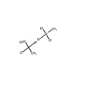 CC(Cl)(Br)C(=O)[O-].CC[N+](C)(CC)CC